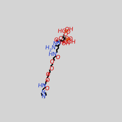 CN1CCN(CC(=O)NCCOCCOCCOCCOCCC(=O)NCCCc2cn([C@@H]3O[C@H](COP(=O)(O)O)[C@H](OP(=O)(O)O)C3O)c(=O)nc2N)CC1